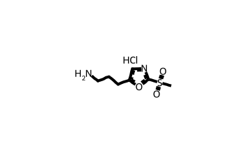 CS(=O)(=O)c1ncc(CCCN)o1.Cl